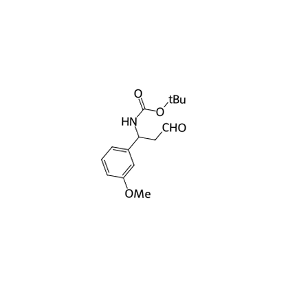 COc1cccc(C(CC=O)NC(=O)OC(C)(C)C)c1